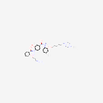 COc1cc(C(=O)N(C)c2ccc(C)cc2OCCCCCCN2CCN(C)CC2)ccc1NC(=O)c1ccccc1OCCCN